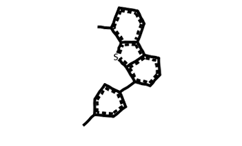 Cc1ccc(-c2cccc3c2sc2c(C)cccc23)cc1